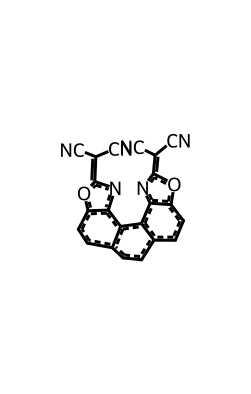 N#CC(C#N)=c1nc2c(ccc3ccc4ccc5oc(=C(C#N)C#N)nc5c4c32)o1